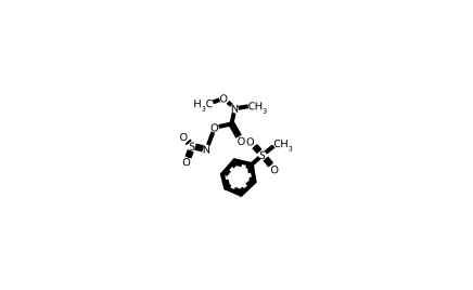 CON(C)C(=O)ON=S(=O)=O.CS(=O)(=O)c1ccccc1